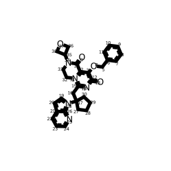 O=C1c2c(OCc3ccccc3)c(=O)nc(CC3(n4ccc5cccnc54)CCCC3)n2CCN1C1COC1